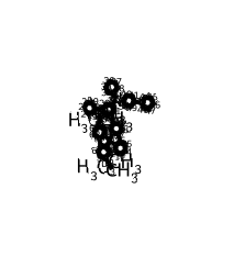 CC(C)(C)c1ccc2c(c1)C1(c3ccccc3-c3ccc(-c4cc(-c5ccccc5)cc(N(c5ccccc5)c5ccc(-c6ccccc6)cc5)c4)cc31)c1cc(C(C)(C)C)ccc1-2